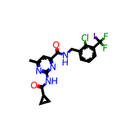 Cc1cc(C(=O)NCc2cccc(C(F)(F)I)c2Cl)nc(NC(=O)C2CC2)n1